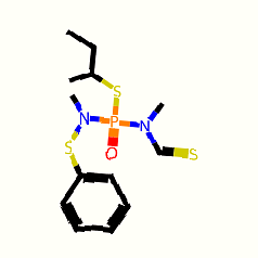 CCC(C)SP(=O)(N(C)C=S)N(C)Sc1ccccc1